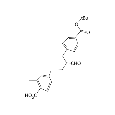 Cc1cc(CCC(C=O)Cc2ccc(C(=O)OC(C)(C)C)cc2)ccc1C(=O)O